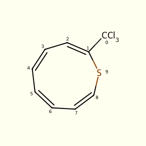 ClC(Cl)(Cl)c1cccccccs1